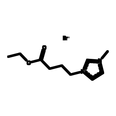 CCOC(=O)CCC[n+]1ccn(C)c1.[Br-]